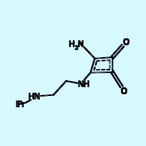 CC(C)NCCNc1c(N)c(=O)c1=O